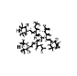 CC(C)CC(C)N(CCN1CC(C)(C)NC(C)(C)C1=O)c1nc(N(CCN2CC(C)(C)NC(C)(C)C2=O)C(C)CC(C)C)nc(N(CCN2CC(C)(C)NC(C)(C)C2=O)C(C)CC(C)C)n1